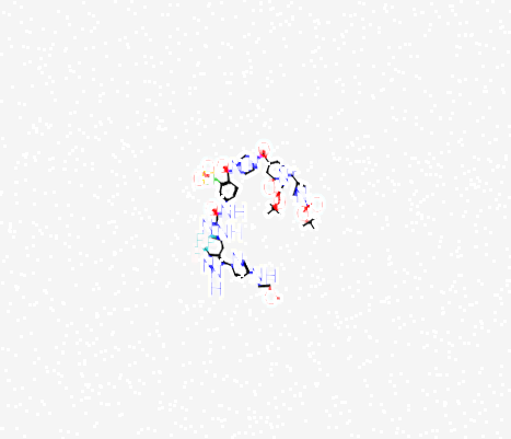 COCCNc1ccc(-c2[nH]nc(C(F)(F)F)c2Cc2cnc(C(=O)Nc3ccc(C(=O)N4CCN(C(=O)C5CC[N+](CC(=O)OC(C)(C)C)(CC6CN(C(=O)OC(C)(C)C)C6)CC5)CC4)c(Cl)c3)[nH]2)nc1.O=C[O-]